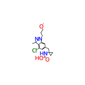 COCCCn1nc(C)c2c(Cl)cc(CC3(NC(=O)O)CC3)cc21